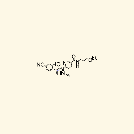 C#CNN(/C(O)=C(\C)c1ccc(C#N)cc1)c1ccc(C(=O)NCCCOCC)cn1